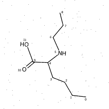 CCCCC(NCCC)C(=O)O